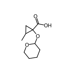 CC1CC1(OC1CCCCO1)C(=O)O